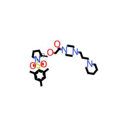 Cc1cc(C)c(S(=O)(=O)N2CCC[C@H]2COCC(=O)N2CCN(CCCN3CCCCC3)CC2)c(C)c1